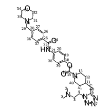 CN(C)CCn1nnnc1SC1CCN(C(=O)Oc2ccc(NC(=O)c3ccc(CN4CCOCC4)cc3)cc2)CC1